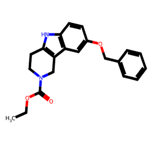 CCOC(=O)N1CCc2[nH]c3ccc(OCc4ccccc4)cc3c2C1